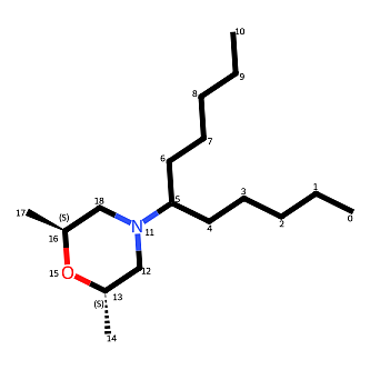 CCCCCC(CCCCC)N1C[C@H](C)O[C@@H](C)C1